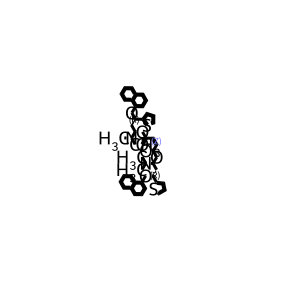 CN(C)C(C[C@@H](Oc1cccc2ccccc12)c1cccs1)OC(=O)/C=C\C(=O)OC(C[C@@H](Oc1cccc2ccccc12)c1cccs1)N(C)C